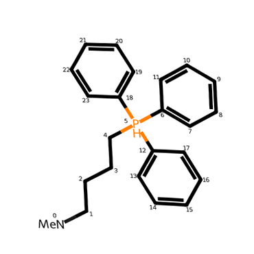 CNCCCC[PH](c1ccccc1)(c1ccccc1)c1ccccc1